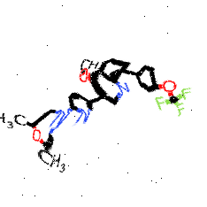 COc1c(-c2ccc(N3CC(C)O[C@H](C)C3)nc2)cnc2c(-c3ccc(OC(F)(F)F)cc3)cccc12